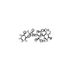 COc1nc(NC(=O)C2COc3ccccc3O2)c(C(=O)O)n1-c1ccc(F)cc1